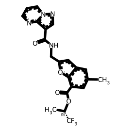 Cc1cc(C(=O)O[C@@H](C)C(F)(F)F)c2oc(CNC(=O)c3cnn4cccnc34)cc2c1